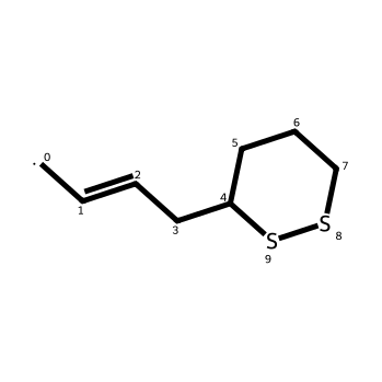 [CH2]C=CCC1CCCSS1